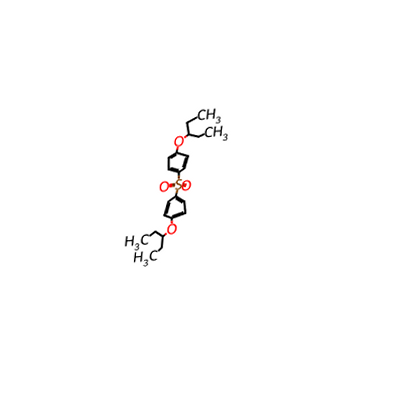 CCC(CC)Oc1ccc(S(=O)(=O)c2ccc(OC(CC)CC)cc2)cc1